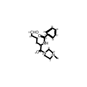 CN1CCN(C(=O)C(CCCC=O)NC(=O)c2ccccc2)CC1